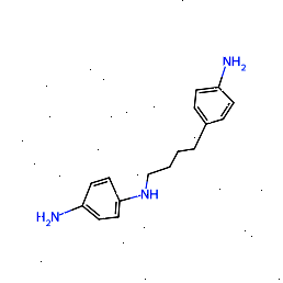 Nc1ccc(CCCCNc2ccc(N)cc2)cc1